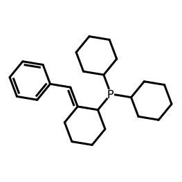 C(=C1CCCCC1P(C1CCCCC1)C1CCCCC1)c1ccccc1